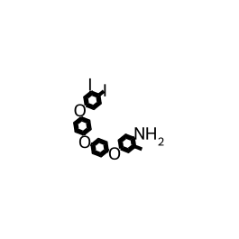 Cc1cc(Oc2ccc(Oc3ccc(Oc4ccc(I)c(I)c4)cc3)cc2)ccc1N